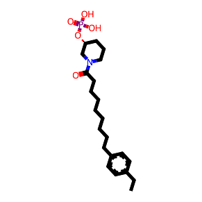 CCc1ccc(CCCCCCCCC(=O)N2CCC[C@@H](OP(=O)(O)O)C2)cc1